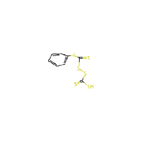 S=C(S)SSC(=S)Sc1ccccc1